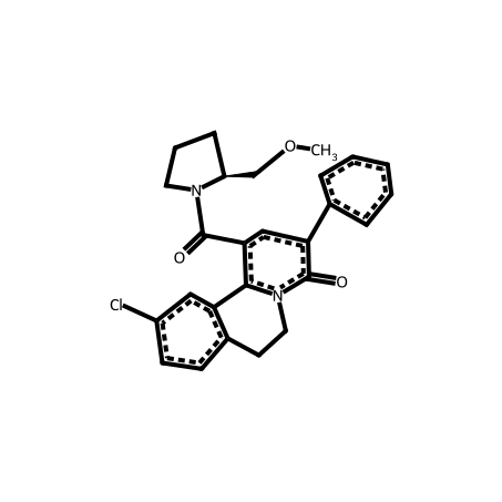 COC[C@@H]1CCCN1C(=O)c1cc(-c2ccccc2)c(=O)n2c1-c1cc(Cl)ccc1CC2